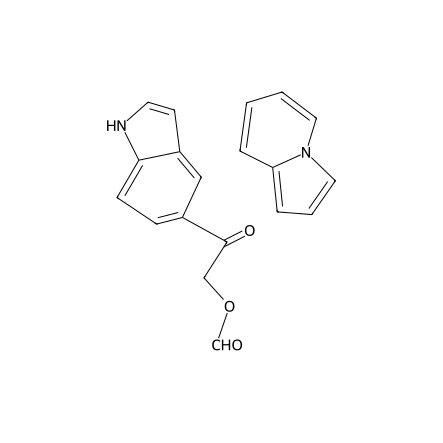 O=COCC(=O)c1ccc2[nH]ccc2c1.c1ccn2cccc2c1